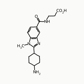 Cn1c(C2CCC(N)CC2)nc2cc(C(=O)NCCC(=O)O)ccc21